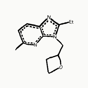 CCc1nc2ccc(C)nc2n1CC1CCO1